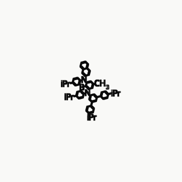 Cc1cc2c3c(c1)N(c1ccc4ccccc4c1)c1ccc(C(C)C)cc1B3c1cc(C(C)C)ccc1N2c1cc(-c2ccc(C(C)C)cc2)cc(-c2ccc(C(C)C)cc2)c1